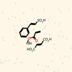 C=CC(=O)OCCCC.O=C(O)C=CC(=O)O.O=S(=O)(O)C=Cc1ccccc1